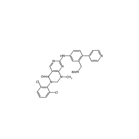 CNCc1cc(Nc2ncc3c(n2)N(C)CN(c2c(Cl)cccc2Cl)C3=O)ccc1-c1ccncc1